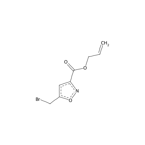 C=CCOC(=O)c1cc(CBr)on1